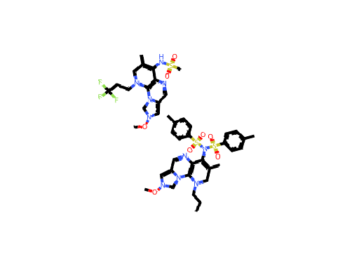 CCCN1CC(C)=C(N(S(=O)(=O)c2ccc(C)cc2)S(=O)(=O)c2ccc(C)cc2)C2=C1N1CN(OC)C=C1C=N2.CON1C=C2C=NC3=C(N(CCC(F)(F)F)CC(C)=C3NS(C)(=O)=O)N2C1